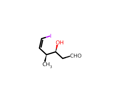 C[C@@H](/C=C\I)[C@@H](O)CC=O